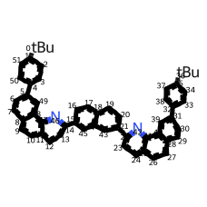 CC(C)(C)c1ccc(-c2ccc3ccc4ccc(-c5ccc6ccc(-c7ccc8ccc9ccc(-c%10ccc(C(C)(C)C)cc%10)cc9c8n7)cc6c5)nc4c3c2)cc1